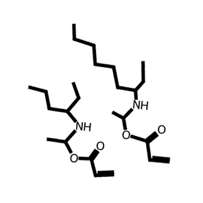 C=CC(=O)OC(C)NC(CC)CCC.C=CC(=O)OC(C)NC(CC)CCCCCC